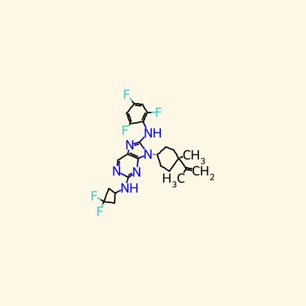 C=C(C)[C@]1(C)CC[C@H](n2c(Nc3c(F)cc(F)cc3F)nc3cnc(NC4CC(F)(F)C4)nc32)CC1